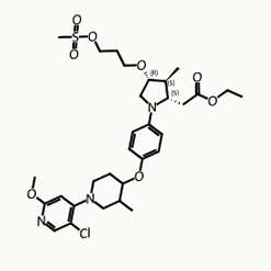 CCOC(=O)C[C@H]1[C@H](C)[C@@H](OCCCOS(C)(=O)=O)CN1c1ccc(OC2CCN(c3cc(OC)ncc3Cl)CC2C)cc1